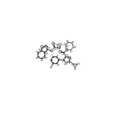 Cc1cccc(-c2sc(C3CC3)nc2C(=O)N2CCCC[C@H]2CNC(=O)Oc2noc3ccccc23)c1